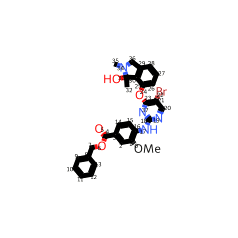 COc1cc(C(=O)OCc2ccccc2)ccc1Nc1ncc(Br)c(Oc2cccc3c2C(C)(O)N(C)C3)n1